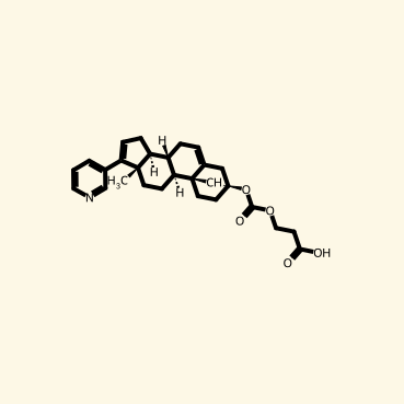 C[C@]12CC[C@H](OC(=O)OCCC(=O)O)CC1=CC[C@@H]1[C@@H]2CC[C@]2(C)C(c3cccnc3)=CC[C@@H]12